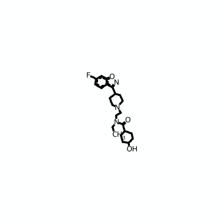 CCN(CCN1CCC(c2noc3cc(F)ccc23)CC1)C(=O)C1CCC(O)CC1